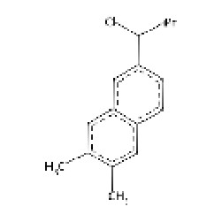 Cc1cc2ccc(C(Cl)C(C)C)cc2cc1C